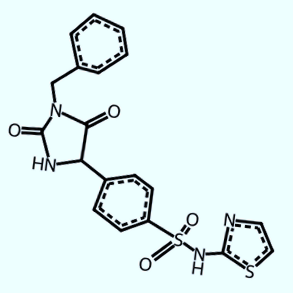 O=C1NC(c2ccc(S(=O)(=O)Nc3nccs3)cc2)C(=O)N1Cc1ccccc1